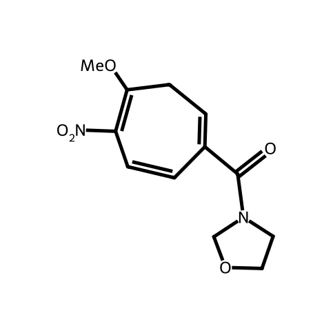 COC1=C([N+](=O)[O-])C=CC(C(=O)N2CCOC2)=CC1